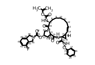 C=C(C)OC(=O)N[C@H]1CCCCC/C=C\[C@H]2C[C@]2(C(=O)NOc2ccccc2)NC(=O)[C@@H]2C[C@@H](OC(=O)N3Cc4cccc(F)c4C3)CN2C1=O